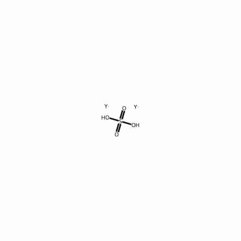 O=S(=O)(O)O.[Y].[Y]